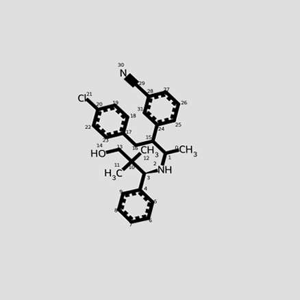 CC(N[C@@H](c1ccccc1)C(C)(C)CO)C(Cc1ccc(Cl)cc1)c1cccc(C#N)c1